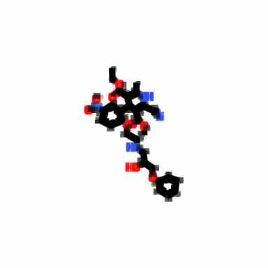 CCOC(=O)C1=C(C)NC(C#N)=C(C(=O)OC)C1c1cc([N+](=O)[O-])ccc1OCCNCC(O)COc1ccccc1